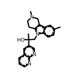 Cc1ccc2c(c1)c1c(n2CC(C)(O)c2cnc3ncccc3c2)CCN(C)C1